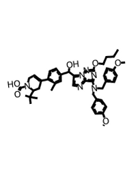 CCCCOc1nc(N(Cc2ccc(OC)cc2)Cc2ccc(OC)cc2)c2ncc(C(O)c3ccc(C4=CCN(C(=O)O)C(C(C)(C)C)C4)c(C)c3)n2n1